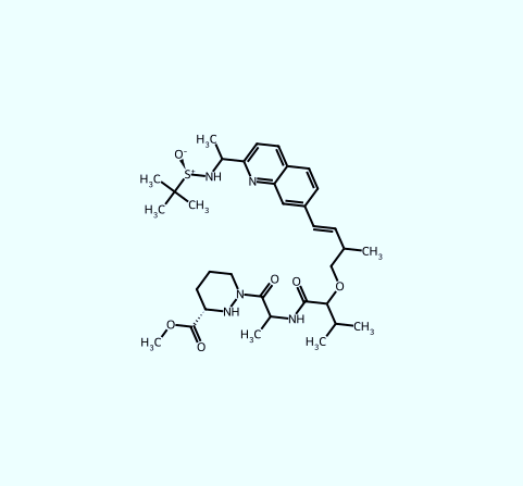 COC(=O)[C@@H]1CCCN(C(=O)C(C)NC(=O)C(OCC(C)/C=C/c2ccc3ccc(C(C)N[S@+]([O-])C(C)(C)C)nc3c2)C(C)C)N1